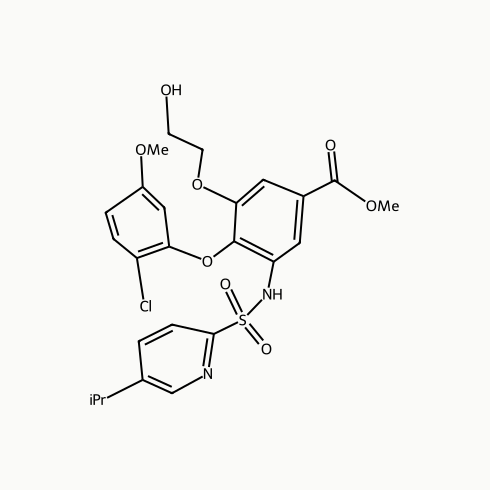 COC(=O)c1cc(NS(=O)(=O)c2ccc(C(C)C)cn2)c(Oc2cc(OC)ccc2Cl)c(OCCO)c1